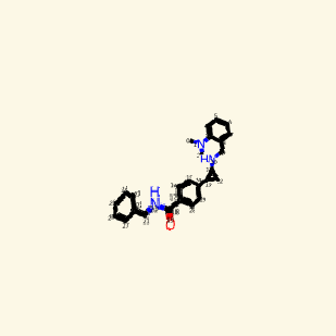 CN(C)c1ccccc1CNC1CC1c1ccc(C(=O)NCc2ccccc2)cc1